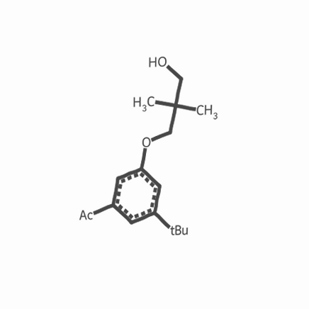 CC(=O)c1cc(OCC(C)(C)CO)cc(C(C)(C)C)c1